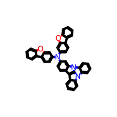 c1ccc2c(c1)oc1cc(N(c3ccc4c(c3)oc3ccccc34)c3ccc4c5c6ccccc6n6c7ccccc7n(c4c3)c56)ccc12